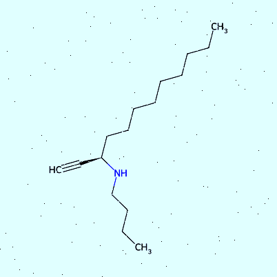 C#C[C@@H](CCCCCCCCC)NCCCC